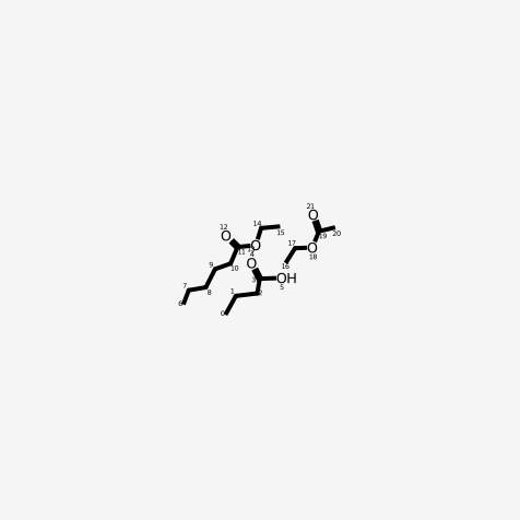 CCCC(=O)O.CCCCCC(=O)OCC.CCOC(C)=O